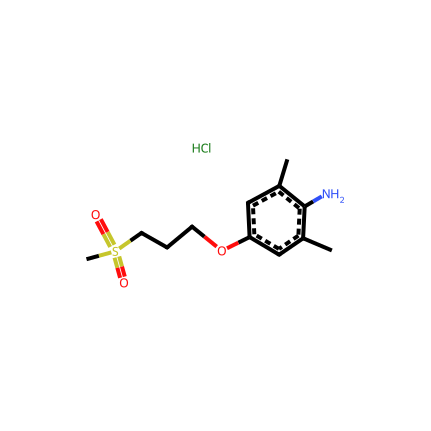 Cc1cc(OCCCS(C)(=O)=O)cc(C)c1N.Cl